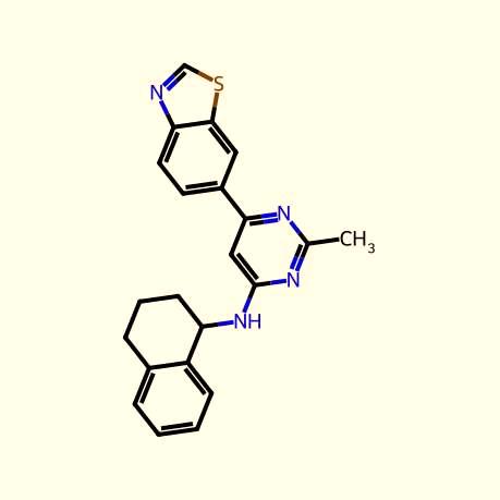 Cc1nc(NC2CCCc3ccccc32)cc(-c2ccc3ncsc3c2)n1